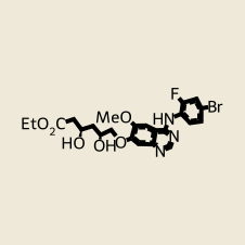 CCOC(=O)C[C@H](O)C[C@H](O)COc1cc2ncnc(Nc3ccc(Br)cc3F)c2cc1OC